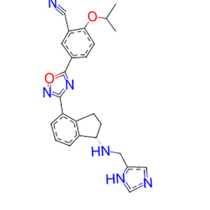 CC(C)Oc1ccc(-c2nc(-c3cccc4c3CC[C@@H]4NCc3cnc[nH]3)no2)cc1C#N